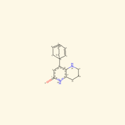 O=c1cc(C23C=CC(=CC2)CC3)c2c([nH]1)CCCN2